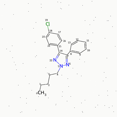 CCCCCn1nc(-c2ccccc2)c(-c2ccc(Cl)cc2)n1